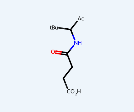 CC(=O)C(NC(=O)CCC(=O)O)C(C)(C)C